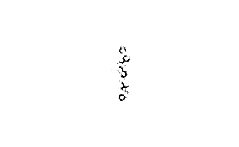 Cc1c(C(=O)Nc2ccc(-c3nc(-c4ccnc(N5CCOCC5)c4)cnc3N)nc2)c(=O)n(-c2ccccc2Cl)n1C